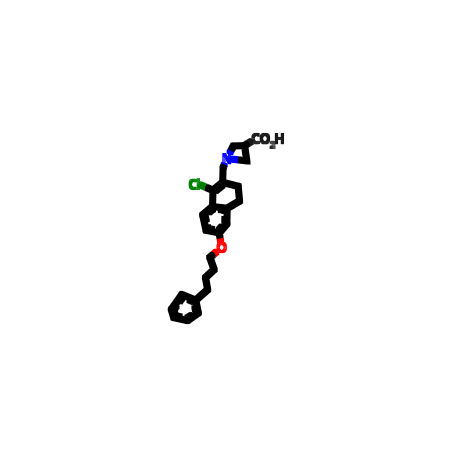 O=C(O)C1CN(CC2=C(Cl)c3ccc(OCCCCc4ccccc4)cc3CC2)C1